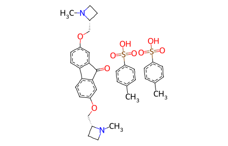 CN1CC[C@@H]1COc1ccc2c(c1)C(=O)c1cc(OC[C@H]3CCN3C)ccc1-2.Cc1ccc(S(=O)(=O)O)cc1.Cc1ccc(S(=O)(=O)O)cc1